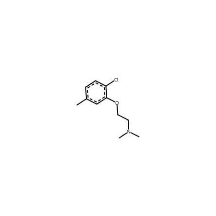 Cc1ccc(Cl)c(OCCN(C)C)c1